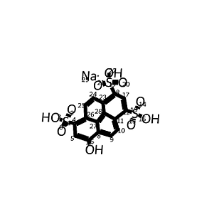 O=S(=O)(O)c1cc(O)c2ccc3c(S(=O)(=O)O)cc(S(=O)(=O)O)c4ccc1c2c34.[Na]